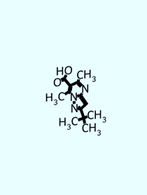 Cc1nc2cc(C(C)(C)C)nn2c(C)c1C(=O)O